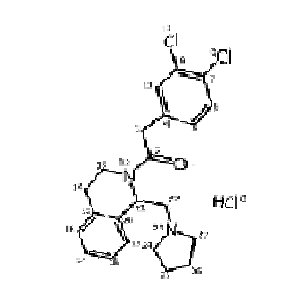 Cl.O=C(Cc1ccc(Cl)c(Cl)c1)N1CCc2ccccc2C1CN1CCCC1